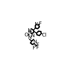 O=c1n(Cc2ccc(C(F)(F)F)nc2)nc2c(-c3ccc(Cl)cc3)c(-c3ccc(F)nc3)cnn12